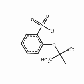 CCCC(C)(Oc1ccccc1S(=O)(=O)Cl)C(=O)O